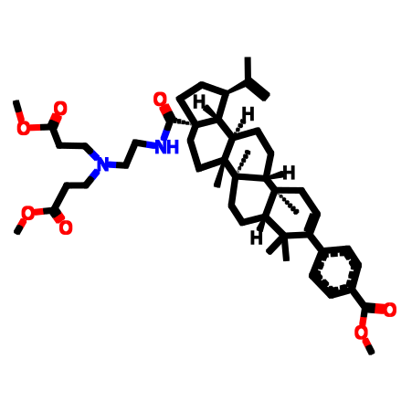 C=C(C)[C@@H]1CC[C@]2(C(=O)NCCN(CCC(=O)OC)CCC(=O)OC)CC[C@]3(C)[C@H](CC[C@@H]4[C@@]5(C)CC=C(c6ccc(C(=O)OC)cc6)C(C)(C)[C@@H]5CC[C@]43C)[C@@H]12